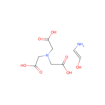 NC=CO.O=C(O)CN(CC(=O)O)CC(=O)O